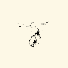 C[C@@H]1C[C@H](NS(C)(=O)=O)[C@H](CO[C@H]2CC[C@]3(c4ncc(F)cn4)C(C2)[C@@H]3C)N1C(=O)OCCF